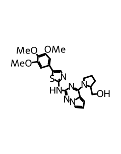 COc1cc(-c2cnc(Nc3nc(N4CCCC4CO)c4cccn4n3)s2)cc(OC)c1OC